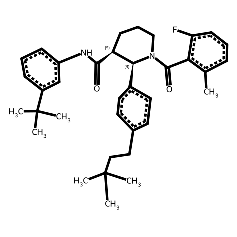 Cc1cccc(F)c1C(=O)N1CCC[C@H](C(=O)Nc2cccc(C(C)(C)C)c2)[C@@H]1c1ccc(CCC(C)(C)C)cc1